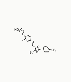 CCc1nc(-c2ccc(C(F)(F)F)cc2)oc1COc1ccc(OCC(=O)O)c(C)c1